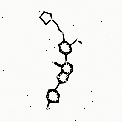 COc1cc(-n2ccc3nc(-c4ccc(Cl)cc4)sc3c2=O)ccc1OCCN1CCCC1